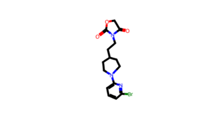 O=C1COC(=O)N1CCC1CCN(c2cccc(Br)n2)CC1